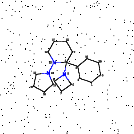 C1CCC(C2(N3CCC3)CCCCN2N2CCCC2)CC1